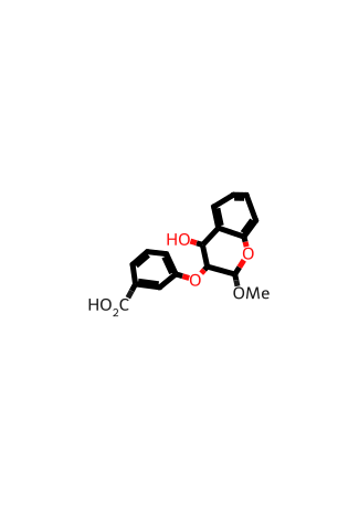 COC1Oc2ccccc2C(O)C1Oc1cccc(C(=O)O)c1